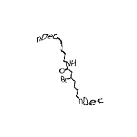 CCCCCCCCCCCCCCNC(=O)CC(Br)CCCCCCCCCCCCCC